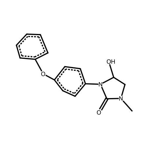 CN1CC(O)N(c2ccc(Oc3ccccc3)cc2)C1=O